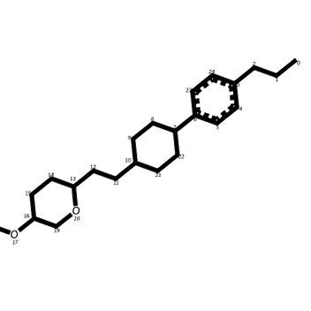 CCCc1ccc(C2CCC(CCC3CCC(OC)CO3)CC2)cc1